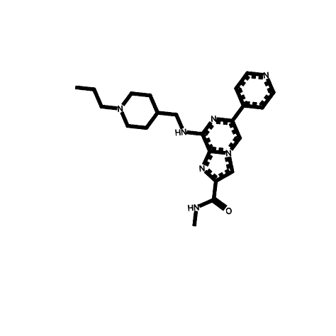 CCCN1CCC(CNc2nc(-c3ccncc3)cn3cc(C(=O)NC)nc23)CC1